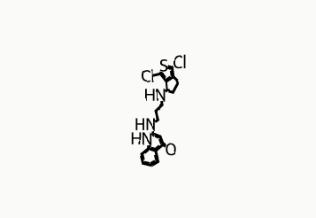 O=c1cc(NCCCNC2CCc3c(Cl)sc(Cl)c32)[nH]c2ccccc12